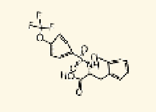 O=C(O)C(Cc1ccccc1Cl)NS(=O)(=O)c1ccc(OC(F)(F)F)cc1